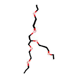 CCOCCOCC(COCCOCC)OCCOCC